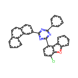 Clc1ccc(-c2nc(-c3ccccc3)nc(-c3ccc4ccc5ccccc5c4c3)n2)c2c1oc1ccccc12